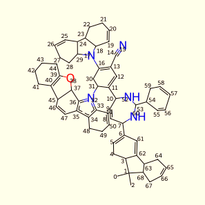 CC1(C)C2CC=C(C3C=CC(C4=CC(C#N)=C(N5C6C=CCCC6C6C=CCCC65)CC4n4c5c(c6c4C4OC7=C(CCCC7)C4C=C6)CCC=C5)NC(C4C=CC=CC4)N3)C=C2C2CC=CCC21